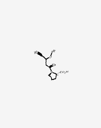 C#CC(CC(=O)N1CCC[C@H]1C(=O)O)OCCC